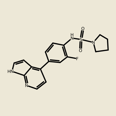 O=S(=O)(Nc1ccc(-c2ccnc3[nH]ccc23)cc1F)N1CCCC1